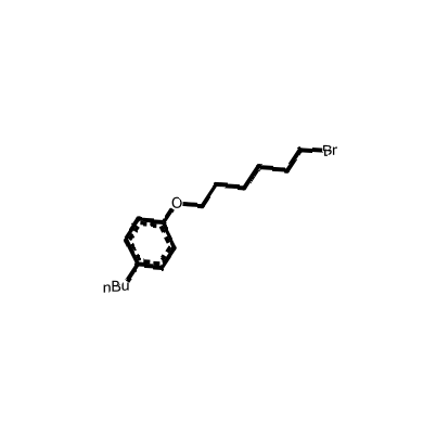 CCCCc1ccc(OCCCCCCBr)cc1